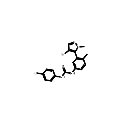 Cc1ccc(NC(=S)Nc2ccc(Cl)cc2)cc1-c1c(Br)cnn1C